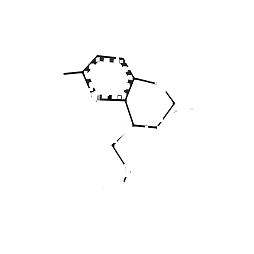 Cc1ccc2c(n1)[C@H](CNC(=O)O)C[C@@H](C)O2